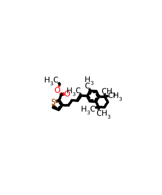 CCOC(=O)c1sccc1CC/C=C(\C)c1cc2c(cc1C)C(C)(C)CCC2(C)C